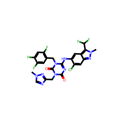 Cn1cnc(Cn2c(=O)nc(Nc3cc4c(C(F)F)n(C)nc4cc3Cl)n(Cc3cc(F)c(F)cc3F)c2=O)n1